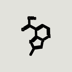 COC(=O)c1ccnn2cc(C)nc12